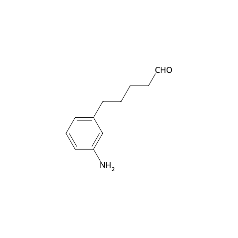 Nc1cccc(CCCCC=O)c1